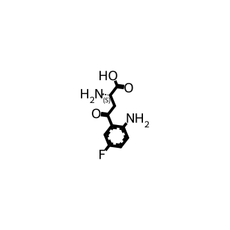 Nc1ccc(F)cc1C(=O)C[C@H](N)C(=O)O